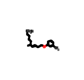 CC(/C=C/CCOc1cccc(C(F)(F)F)c1)CCCCC(=O)O